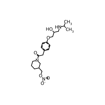 CC(C)NCC(O)COc1ccc(CC(=O)N2CCCC(CO[N+](=O)[O-])C2)cc1